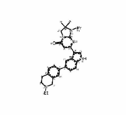 CCN1CCc2ccc(-c3ccc4[nH]cc(-c5cc(=O)n6c(n5)N(C(C)C)C(C)(C)C6)c4c3)cc2C1